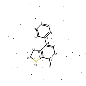 CC1CC=C(c2ccccc2)C2=C1SCC2